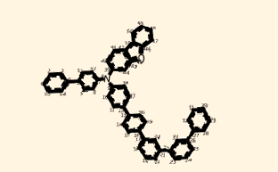 c1ccc(-c2ccc(N(c3ccc(-c4ccc(-c5cccc(-c6cccc(-c7ccccc7)c6)c5)cc4)cc3)c3ccc4c(c3)oc3ccccc34)cc2)cc1